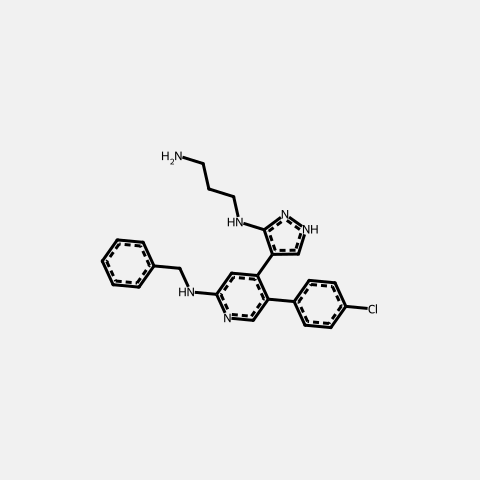 NCCCNc1n[nH]cc1-c1cc(NCc2ccccc2)ncc1-c1ccc(Cl)cc1